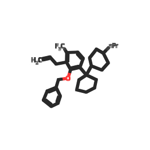 C=CCc1c(C(F)(F)F)ccc(C2(C3CCC(CCC)CC3)CCCCC2)c1OCc1ccccc1